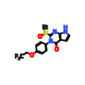 CC[S+]([O-])c1nc2[nH]ccc2c(=O)n1-c1ccc(OCC(F)(F)F)cc1